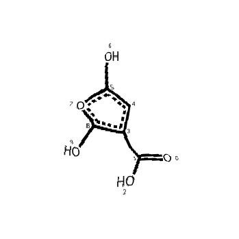 O=C(O)c1cc(O)oc1O